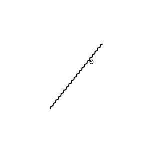 CCCCCCCCCCCCCCCCCCCCCCCCCCCCCCC(=O)CCCCCCCCCC